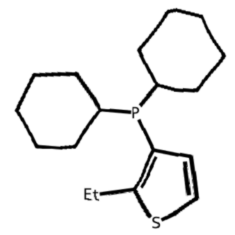 CCc1sccc1P(C1CCCCC1)C1CCCCC1